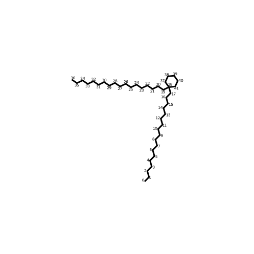 CCCCCCCCCCCCCCCCCCC1(CCCCCCCCCCCCCCCCCC)CCCCC1